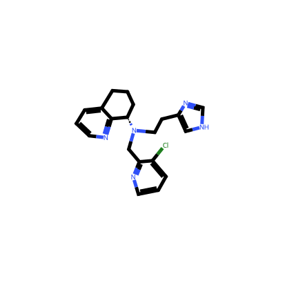 Clc1cccnc1CN(CCc1c[nH]cn1)[C@H]1CCCc2cccnc21